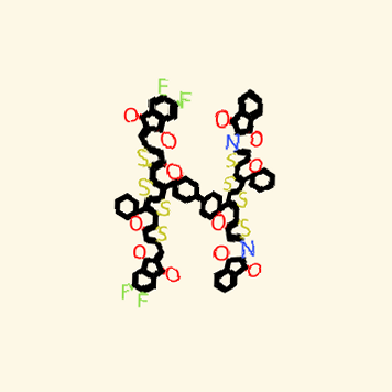 O=C1C(=Cc2cc3c(s2)-c2sc4c5c(sc4c2C2(CCCCC2)O3)-c2sc(C=C3C(=O)c4cc(F)c(F)cc4C3=O)cc2OC52CCC(C3CCC4(CC3)Oc3cc(N=c5c(=O)c6ccccc6c5=O)sc3-c3sc5c6c(sc5c34)-c3sc(N=c4c(=O)c5ccccc5c4=O)cc3OC63CCCCC3)CC2)C(=O)c2cc(F)c(F)cc21